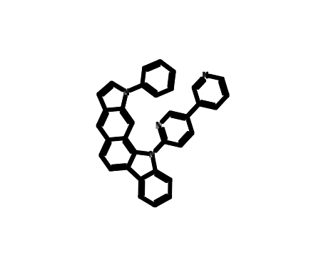 c1ccc(-n2ccc3cc4ccc5c6ccccc6n(-c6ccc(-c7cccnc7)cn6)c5c4cc32)cc1